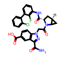 NC(=O)c1nn(CC(=O)N2C3C[C@@H]3C[C@H]2C(=O)Nc2cccc(-c3ccccc3Cl)c2F)c2ccc(C(=O)O)cc12